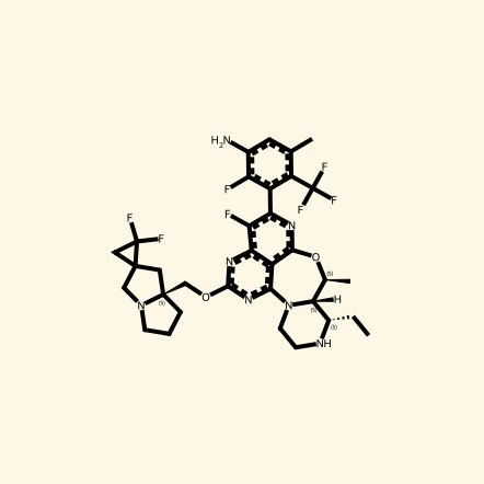 CC[C@@H]1NCCN2c3nc(OC[C@@]45CCCN4CC4(CC4(F)F)C5)nc4c(F)c(-c5c(F)c(N)cc(C)c5C(F)(F)F)nc(c34)O[C@@H](C)[C@H]12